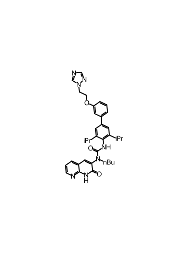 CCCCN(C(=O)Nc1c(C(C)C)cc(-c2cccc(OCCn3cncn3)c2)cc1C(C)C)c1cc2cccnc2[nH]c1=O